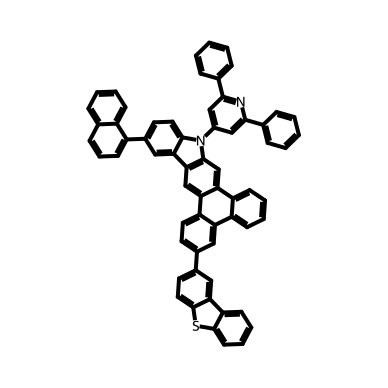 c1ccc(-c2cc(-n3c4ccc(-c5cccc6ccccc56)cc4c4cc5c6ccc(-c7ccc8sc9ccccc9c8c7)cc6c6ccccc6c5cc43)cc(-c3ccccc3)n2)cc1